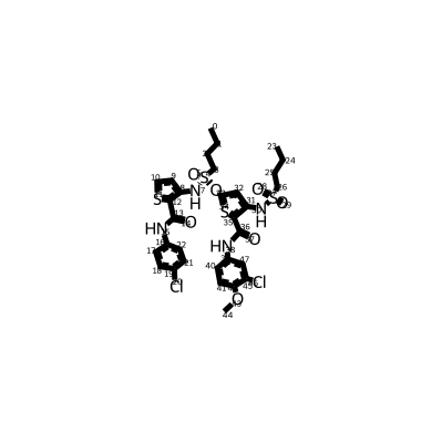 CCCCS(=O)(=O)Nc1ccsc1C(=O)Nc1ccc(Cl)cc1.CCCCS(=O)(=O)Nc1ccsc1C(=O)Nc1ccc(OC)c(Cl)c1